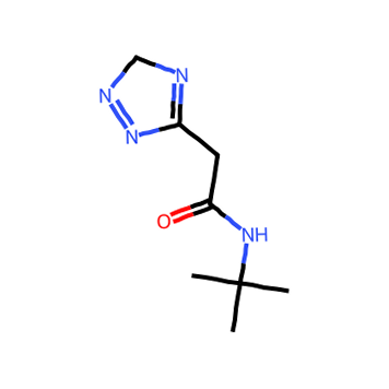 CC(C)(C)NC(=O)CC1=NCN=N1